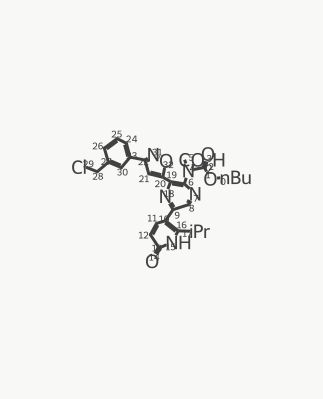 CCCCOC(=O)N(C(=O)O)c1ncc(-c2ccc(=O)[nH]c2C(C)C)nc1-c1cc(-c2cccc(CCl)c2)no1